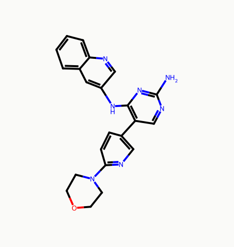 Nc1ncc(-c2ccc(N3CCOCC3)nc2)c(Nc2cnc3ccccc3c2)n1